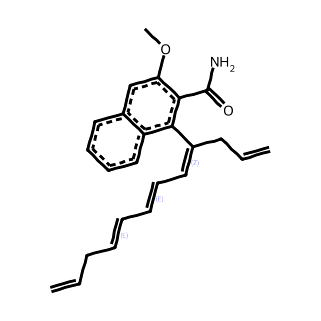 C=CC/C=C/C=C/C=C(/CC=C)c1c(C(N)=O)c(OC)cc2ccccc12